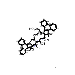 CC1(C)C(/C(C#N)=C/C(C#N)=C/C(C#N)=C2\N(CCOC=O)c3c(c4ccccc4c4ccccc34)C2(C)C)=[N+](CCC(=O)O)c2c1c1ccccc1c1ccccc21